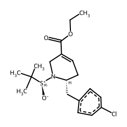 CCOC(=O)C1=CC[C@H](Cc2ccc(Cl)cc2)N([S@@+]([O-])C(C)(C)C)C1